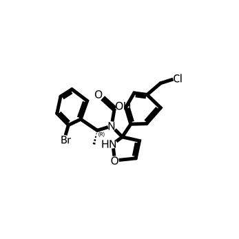 C[C@H](c1ccccc1Br)N(C(=O)O)C1(c2ccc(CCl)cc2)C=CON1